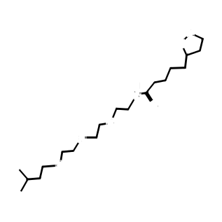 CC(C)CCOCCOCCOCCNC(=O)CCCCC1CCSS1